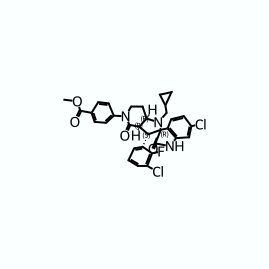 COC(=O)c1ccc(N2CC[C@@H]3[C@H](C2=O)[C@@H](c2cccc(Cl)c2F)[C@@]2(C(=O)Nc4cc(Cl)ccc42)N3CC2CC2)cc1